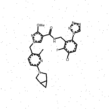 COc1nn(Cc2ccc(N3CC4CC4C3)nc2C)cc1C(=O)NCc1c(-n2cnnn2)ccc(Cl)c1F